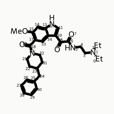 CCN(CC)CCNC(=O)C(=O)c1c[nH]c2cc(OC)c(C(=O)N3CCC(Cc4ccccc4)CC3)cc12